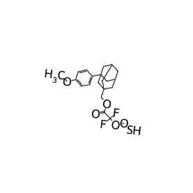 COc1ccc(C23CC4CC(CC(COC(=O)C(F)(F)OOS)(C4)C2)C3)cc1